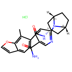 Cc1c(C(=O)N[C@H]2C[C@H]3CC[C@@H](C2)N3c2ccc(C(N)=O)cn2)ccc2ccoc12.Cl